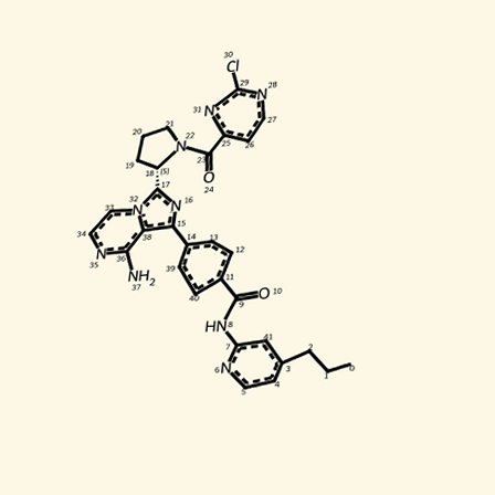 CCCc1ccnc(NC(=O)c2ccc(-c3nc([C@@H]4CCCN4C(=O)c4ccnc(Cl)n4)n4ccnc(N)c34)cc2)c1